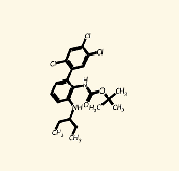 CCC(CC)Nc1cccc(-c2cc(Cl)c(Cl)cc2Cl)c1NC(=O)OC(C)(C)C